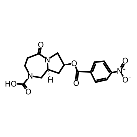 O=C(O[C@H]1C[C@H]2CN(C(=O)O)CCC(=O)N2C1)c1ccc([N+](=O)[O-])cc1